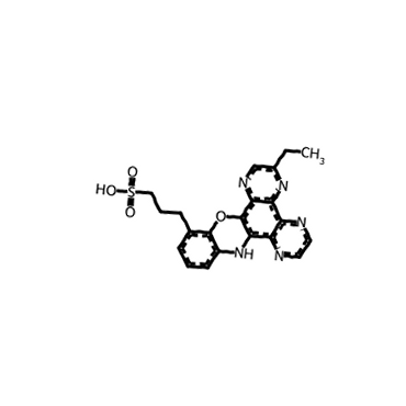 CCc1cnc2c3c(c4nccnc4c2n1)Nc1cccc(CCCS(=O)(=O)O)c1O3